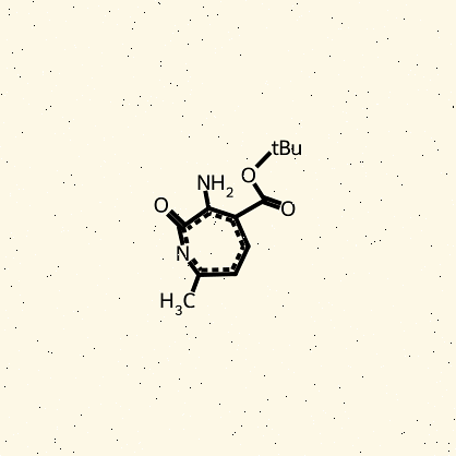 Cc1ccc(C(=O)OC(C)(C)C)c(N)c(=O)n1